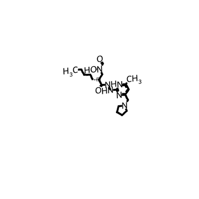 CCCCC[C@H](CN(O)C=O)C(=O)NNc1nc(C)cc(CN2CCCC2)n1